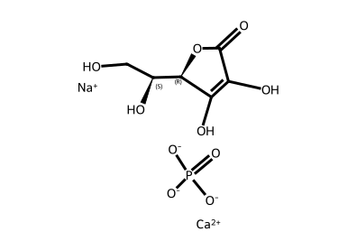 O=C1O[C@H]([C@@H](O)CO)C(O)=C1O.O=P([O-])([O-])[O-].[Ca+2].[Na+]